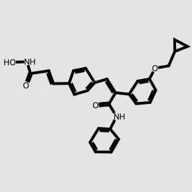 O=C(/C=C/c1ccc(/C=C(\C(=O)Nc2ccccc2)c2cccc(OCC3CC3)c2)cc1)NO